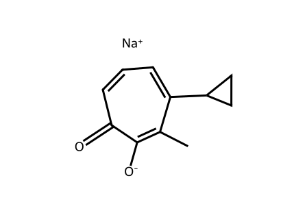 Cc1c(C2CC2)cccc(=O)c1[O-].[Na+]